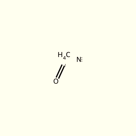 C.[C]=O.[N]